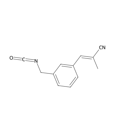 CC(C#N)=Cc1cccc(CN=C=O)c1